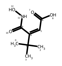 CC(C)(C)C(=CC(=O)O)C(=O)NO